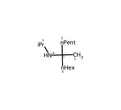 CCCCCCC(C)(CCCCC)NC(C)C